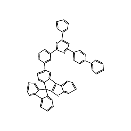 c1ccc(-c2ccc(-c3cc(-c4ccccc4)nc(-c4cccc(-c5ccc6c(c5)-c5c(sc7ccccc57)C65c6ccccc6-c6ccccc65)c4)n3)cc2)cc1